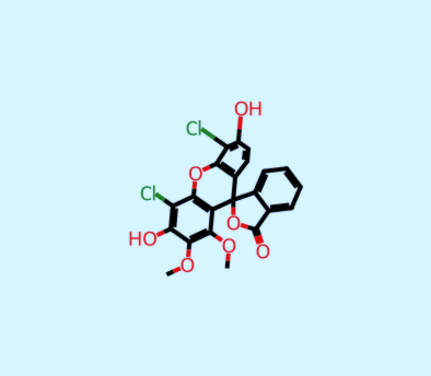 COc1c(O)c(Cl)c2c(c1OC)C1(OC(=O)c3ccccc31)c1ccc(O)c(Cl)c1O2